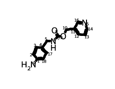 Nc1ccc(CNC(=O)OCc2cccnc2)cc1